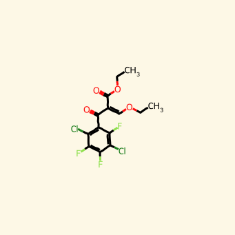 CCO/C=C(\C(=O)OCC)C(=O)c1c(F)c(Cl)c(F)c(F)c1Cl